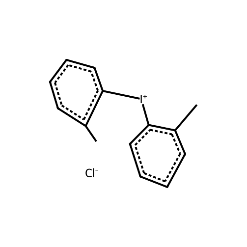 Cc1ccccc1[I+]c1ccccc1C.[Cl-]